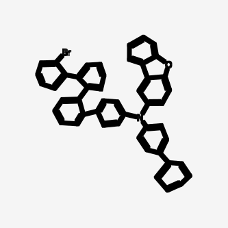 Brc1ccccc1-c1ccccc1-c1ccccc1-c1ccc(N(c2ccc(-c3ccccc3)cc2)c2ccc3oc4ccccc4c3c2)cc1